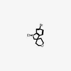 CCN1CC2(CCOCC2)c2ccc(Br)cc21